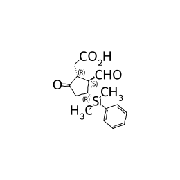 C[Si](C)(c1ccccc1)[C@@H]1CC(=O)[C@H](CC(=O)O)[C@H]1C=O